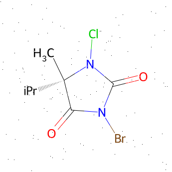 CC(C)[C@@]1(C)C(=O)N(Br)C(=O)N1Cl